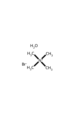 C[N+](C)(C)C.O.[Br-]